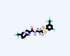 CC(C)(CCNC(=O)c1cn2cc(C(F)(F)F)ccc2n1)S(=O)(=O)c1cc(F)cc(C(F)(F)F)c1